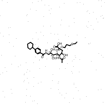 CCSCCCO[C@]1(C(=O)O)CC(O)[C@@H](NC(C)=O)[C@H]([C@H](O)[C@H](O)CNC(=O)c2ccc(C3CCCCC3)cc2)O1